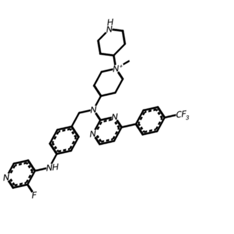 C[N+]1(C2CCNCC2)CCC(N(Cc2ccc(Nc3ccncc3F)cc2)c2nccc(-c3ccc(C(F)(F)F)cc3)n2)CC1